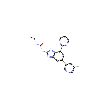 CCNC(=O)Nc1nc2cc(-c3cncc(Cl)c3)cc(-c3ncccn3)c2[nH]1